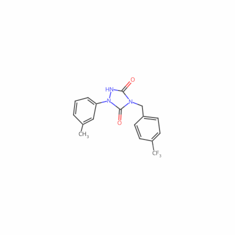 Cc1cccc(-n2[nH]c(=O)n(Cc3ccc(C(F)(F)F)cc3)c2=O)c1